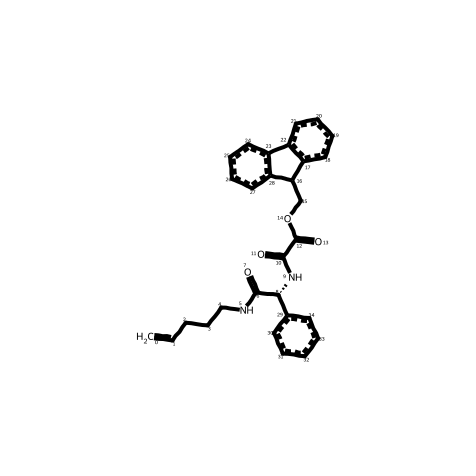 C=CCCCNC(=O)[C@H](NC(=O)C(=O)OCC1c2ccccc2-c2ccccc21)c1ccccc1